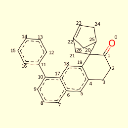 O=C1CCc2cc3cccc(-c4ccccc4)c3cc2C12CC1=CCC2C1